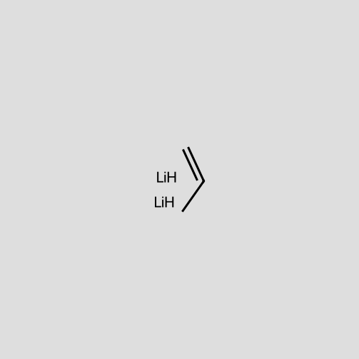 C=CC.[LiH].[LiH]